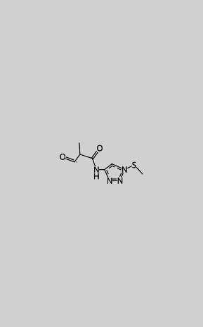 CSn1cc(NC(=O)C(C)[C]=O)nn1